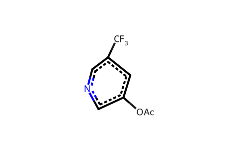 CC(=O)Oc1cncc(C(F)(F)F)c1